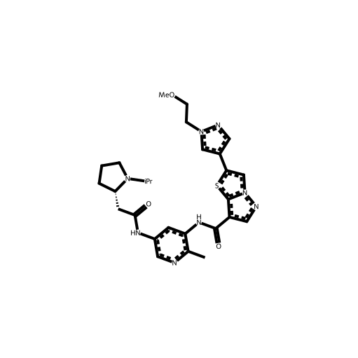 COCCn1cc(-c2cn3ncc(C(=O)Nc4cc(NC(=O)C[C@@H]5CCCN5C(C)C)cnc4C)c3s2)cn1